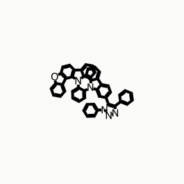 c1ccc(-c2nnn(-c3ccccc3)c2-c2ccc3c4ccccc4n(-c4ccccc4-n4c5ccccc5c5ccc6oc7ccccc7c6c54)c3c2)cc1